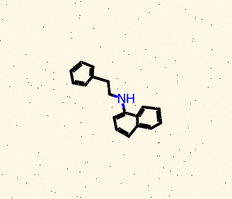 c1ccc(CCNc2cccc3ccccc23)cc1